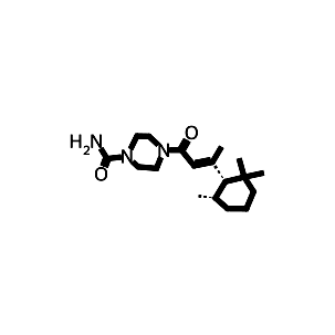 C/C(=C\C(=O)N1CCN(C(N)=O)CC1)[C@H]1[C@@H](C)CCCC1(C)C